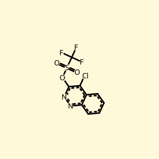 O=S(=O)(Oc1nnc2ccccc2c1Cl)C(F)(F)F